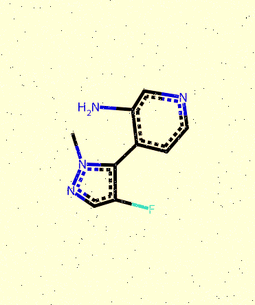 Cn1ncc(F)c1-c1ccncc1N